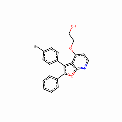 CCc1ccc(-c2c(-c3ccccc3)oc3nccc(OCCO)c23)cc1